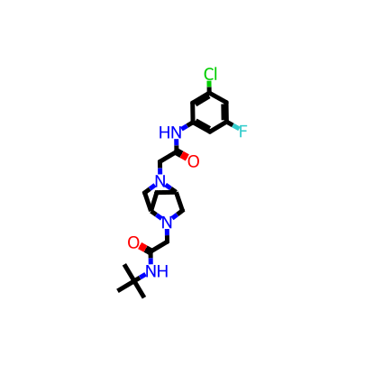 CC(C)(C)NC(=O)CN1CC2CC1CN2CC(=O)Nc1cc(F)cc(Cl)c1